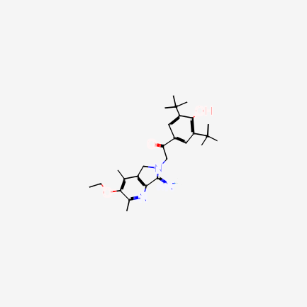 CCOc1c(C)nc2c(c1C)CN(CC(=O)c1cc(C(C)(C)C)c(O)c(C(C)(C)C)c1)/C2=N\Cl